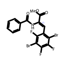 COC(=O)/C(=C/c1c(F)c(Br)c(F)c(F)c1Br)NC(=O)c1ccccc1